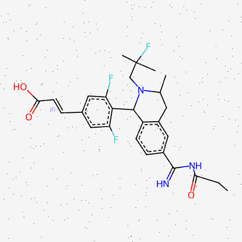 CCC(=O)NC(=N)c1ccc2c(c1)CC(C)N(CC(C)(C)F)C2c1c(F)cc(/C=C/C(=O)O)cc1F